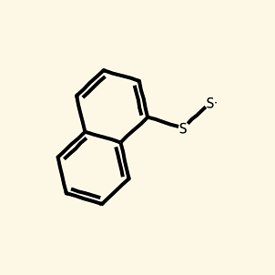 [S]Sc1cccc2ccccc12